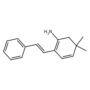 CC1(C)C=CC(C=Cc2ccccc2)=C(N)C1